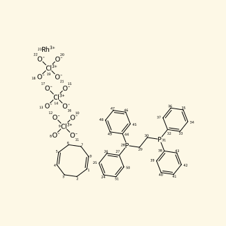 C1=C\CC/C=C\CC/1.[O-][Cl+3]([O-])([O-])[O-].[O-][Cl+3]([O-])([O-])[O-].[O-][Cl+3]([O-])([O-])[O-].[Rh+3].c1ccc(P(CCP(c2ccccc2)c2ccccc2)c2ccccc2)cc1